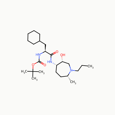 CCCN1C[C@@H](O)[C@@H](NC(=O)[C@H](CC2CCCCC2)NC(=O)OC(C)(C)C)CC[C@H]1C